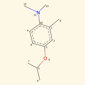 Cc1cc(OC(C)C)ccc1N(C)C